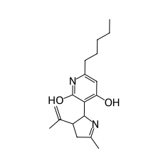 C=C(C)C1CC(C)=NC1c1c(O)cc(CCCCC)nc1O